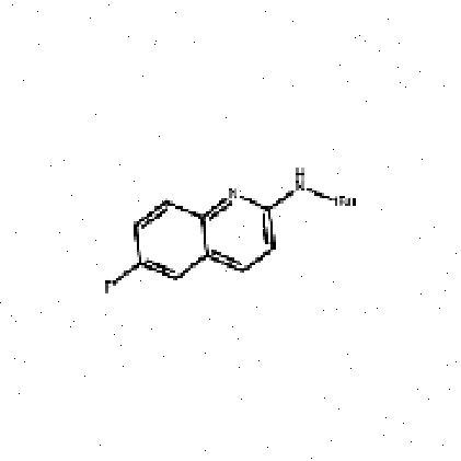 CC(C)(C)Nc1ccc2cc(F)ccc2n1